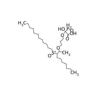 CCCCCCCCCCCC[S+]([O-])C(CCCCCCC)C(C)OCCCOC(O)([PH2]=O)C(=O)O